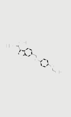 CCOc1ccc(OCc2ccc3c(C(C)O)coc3c2)cc1